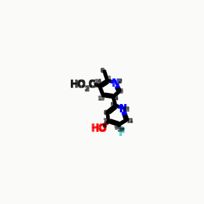 Cc1ncc(-c2cc(O)c(F)cn2)cc1C(=O)O